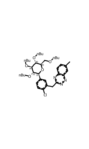 CCCCOC[C@H]1O[C@@H](c2ccc(Cl)c(Cc3nnc4cc(C)ccc4n3)c2)[C@H](OCCCC)[C@@H](OCCCC)[C@@H]1OCCCC